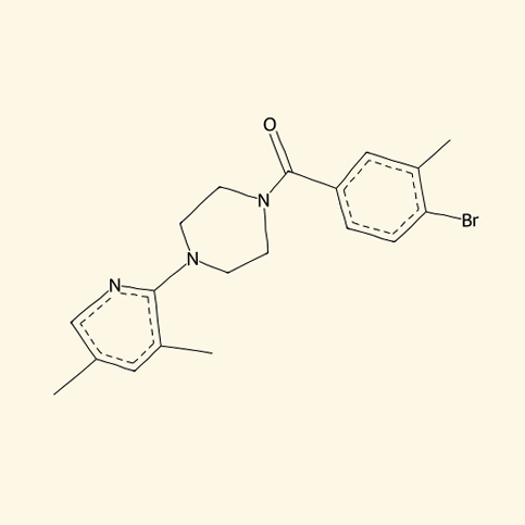 Cc1cnc(N2CCN(C(=O)c3ccc(Br)c(C)c3)CC2)c(C)c1